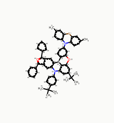 Cc1ccc2c(c1)Sc1cc(C)ccc1N2c1ccc2c(c1)Oc1cc(C(C)(C)C)cc3c1B2c1cc2c(-c4ccccc4)oc(-c4ccccc4)c2cc1N3c1ccc(C(C)(C)C)cc1